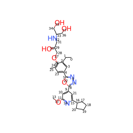 CCc1cc(-c2nnc(-c3cc(OC)nc(C4CCCC4)c3)o2)cc(C)c1OC[C@@H](O)CNC(CO)CO